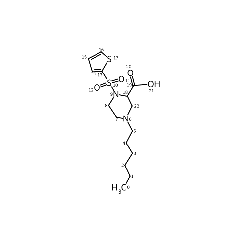 CCCCCCN1CCN(S(=O)(=O)c2cccs2)C(C(=O)O)C1